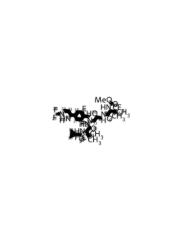 COC(=O)NC(C(=O)NC[C@@H](O)CN(Cc1c(F)cc(C(=N)/C=C\NC(F)F)cc1F)NC(=O)[C@@H](NC(=O)C1CC1)C(C)(C)C(F)(F)F)C(C)(C)C(F)(F)F